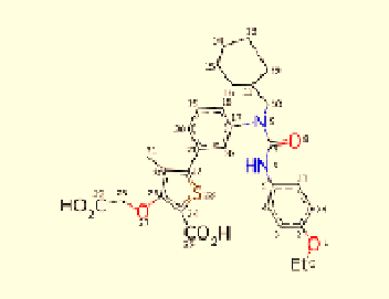 CCOc1ccc(NC(=O)N(CC2CCCCC2)c2cccc(-c3sc(C(=O)O)c(OCC(=O)O)c3C)c2)cc1